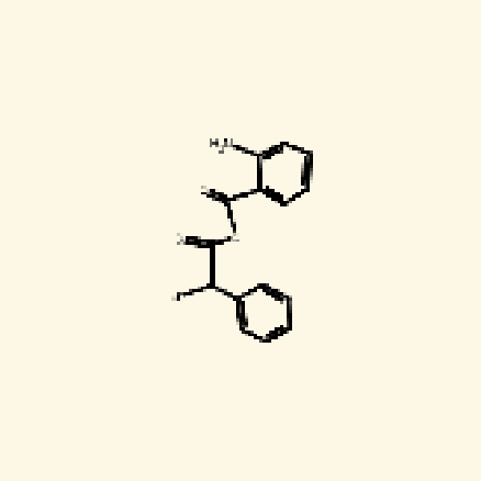 CCC(C(=O)OC(=O)c1ccccc1N)c1ccccc1